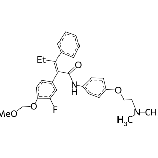 CC/C(=C(/C(=O)Nc1ccc(OCCN(C)C)cc1)c1ccc(OCOC)c(F)c1)c1ccccc1